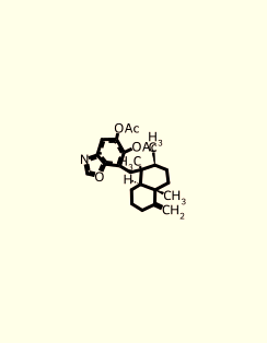 C=C1CCC[C@H]2[C@](C)(Cc3c(OC(C)=O)c(OC(C)=O)cc4ncoc34)[C@@H](C)CC[C@]12C